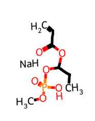 C=CC(=O)OC(CC)OP(=O)(O)OC.[NaH]